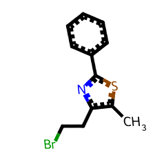 Cc1sc(-c2ccccc2)nc1CCBr